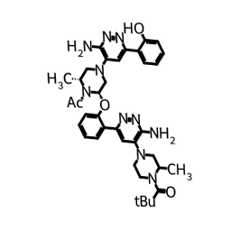 CC(=O)N1[C@H](C)CN(c2cc(-c3ccccc3O)nnc2N)C[C@H]1Oc1ccccc1-c1cc(N2CCN(C(=O)C(C)(C)C)C(C)C2)c(N)nn1